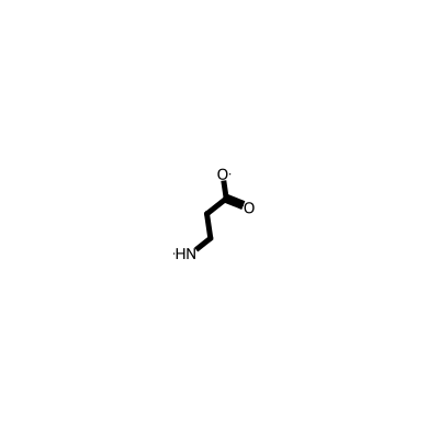 [NH]CCC([O])=O